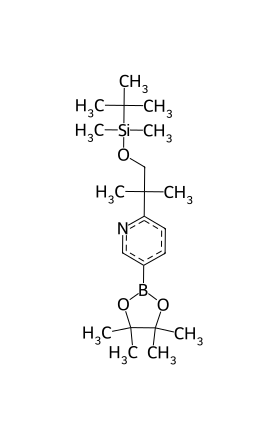 CC(C)(CO[Si](C)(C)C(C)(C)C)c1ccc(B2OC(C)(C)C(C)(C)O2)cn1